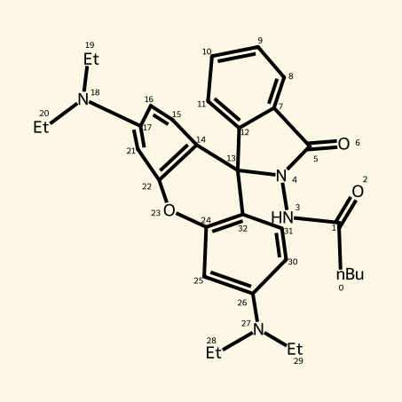 CCCCC(=O)NN1C(=O)c2ccccc2C12c1ccc(N(CC)CC)cc1Oc1cc(N(CC)CC)ccc12